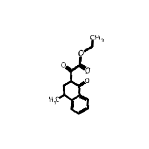 CCOC(=O)C(=O)C1CC(C)c2ccccc2C1=O